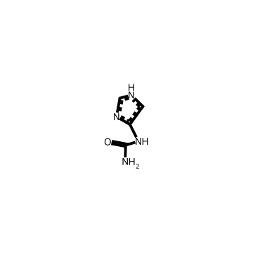 NC(=O)Nc1c[nH]cn1